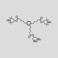 CC(C)(C)CC(CC(C)(C)C)OC(=O)CCCCc1cc(CCCCC(=O)OC2CC(C)(C)NC(C)(C)C2)ccc1CCCCC(=O)OC1CC(C)(C)NC(C)(C)C1